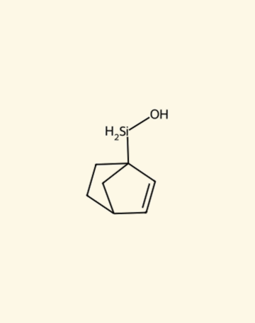 O[SiH2]C12C=CC(CC1)C2